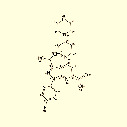 CC(C)c1nn(-c2ccc(F)cc2)c2nc(C(=O)O)cc(N3CCC(N4CCOCC4)CC3)c12